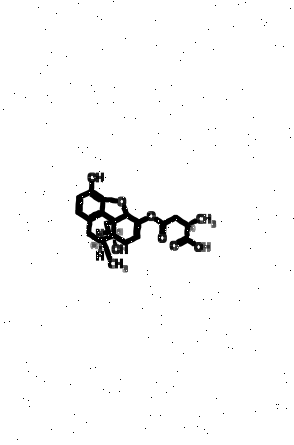 C[C@H](CC(=O)OC1=CC[C@@]2(O)[C@H]3Cc4ccc(O)c5c4C2(CCN3C)C1O5)C(=O)O